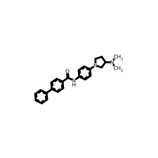 CN(C)C1CCN(c2ccc(NC(=O)c3ccc(-c4ccccc4)cc3)cc2)C1